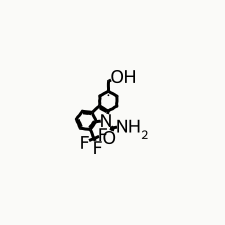 NC(=O)n1c2c(c3cccc(C(F)(F)F)c31)C[C](CO)CC2